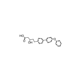 O=C(O)CC(O)CCc1ccc(-c2ccc(Oc3ccccc3)cc2)cc1